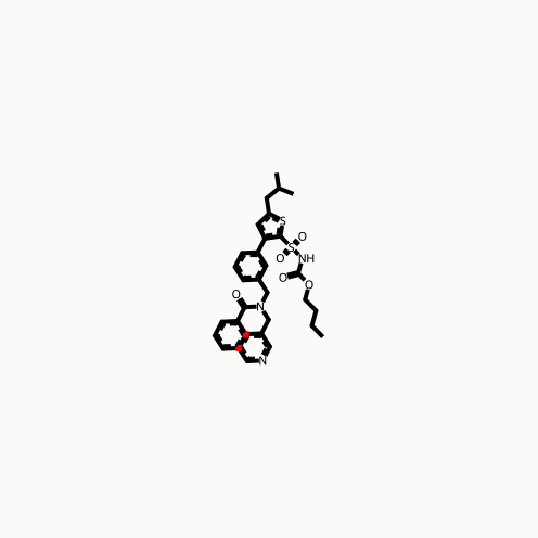 CCCCOC(=O)NS(=O)(=O)c1sc(CC(C)C)cc1-c1cccc(CN(Cc2cccnc2)C(=O)c2ccccc2)c1